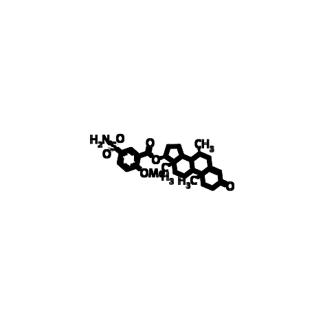 COc1ccc(S(N)(=O)=O)cc1C(=O)O[C@H]1CCC2C3C(CC[C@@]21C)[C@@]1(C)CCC(=O)C=C1C[C@H]3C